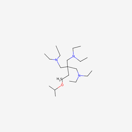 CCN(CC)CC(C[SiH2]OC(C)C)(CN(CC)CC)CN(CC)CC